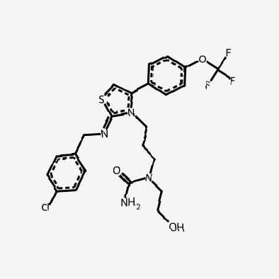 NC(=O)N(CCO)CCCn1c(-c2ccc(OC(F)(F)F)cc2)cs/c1=N\Cc1ccc(Cl)cc1